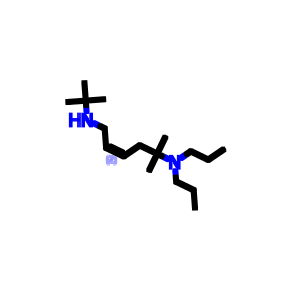 CCCN(CCC)C(C)(C)C/C=C\CNC(C)(C)C